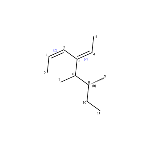 C/C=C\C(=C/C)C(C)[C@H](C)CC